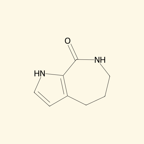 O=C1NCCCc2cc[nH]c21